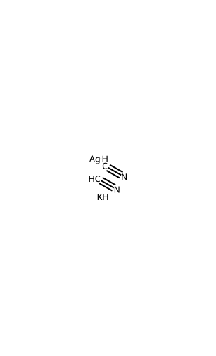 C#N.C#N.[Ag].[KH]